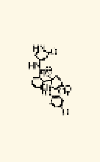 COC1=CC(Cl)(Oc2ccc(OC)cc2Cl)C(O)(c2c(F)cccc2C(=O)Nc2cc[nH]c(=O)c2)C=C1